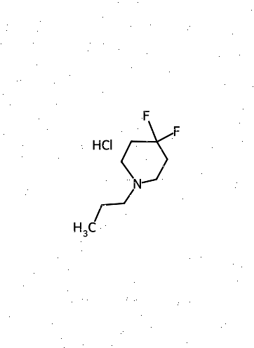 CCCN1CCC(F)(F)CC1.Cl